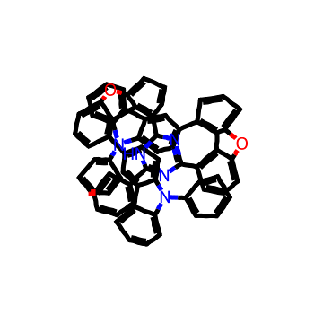 c1ccc(C2=NC(c3cccc4oc5cccc(-c6ccc7c(c6)c6ccccc6n7-c6ccccc6)c5c34)=NC(c3cccc4oc5cccc(-c6ccc7c(c6)c6ccccc6n7-c6ccccc6)c5c34)N2)cc1